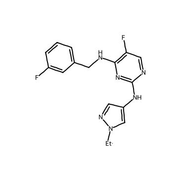 [CH2][CH]n1cc(Nc2ncc(F)c(NCc3cccc(F)c3)n2)cn1